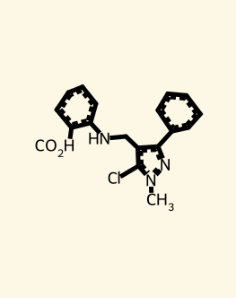 Cn1nc(-c2ccccc2)c(CNc2ccccc2C(=O)O)c1Cl